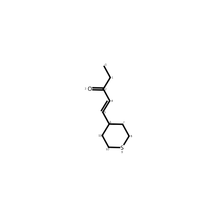 CCC(=O)C=CC1CCSCC1